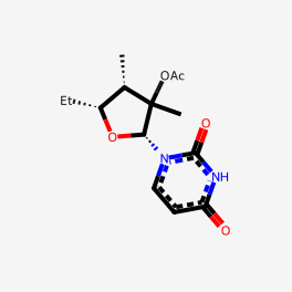 CC[C@H]1O[C@@H](n2ccc(=O)[nH]c2=O)C(C)(OC(C)=O)[C@H]1C